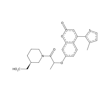 Cc1ccsc1-c1cc(=O)oc2cc(OC(C)C(=O)N3CCC[C@H](CC(=O)O)C3)ccc12